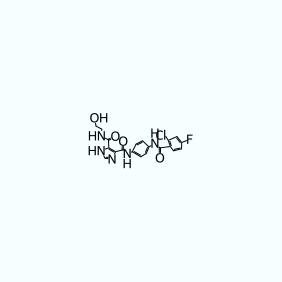 O=C(Nc1ccc(NC(=O)c2nc[nH]c2C(=O)NCCO)cc1)c1ccc(F)cc1Cl